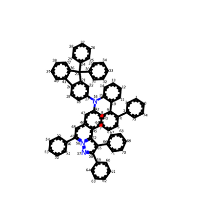 c1ccc(-c2ccccc2-c2ccccc2N(c2ccc3c(c2)C(c2ccccc2)(c2ccccc2)c2ccccc2-3)c2ccc3c(c2)cc(-c2ccccc2)n2nc(-c4ccccc4)c(-c4ccccc4)c32)cc1